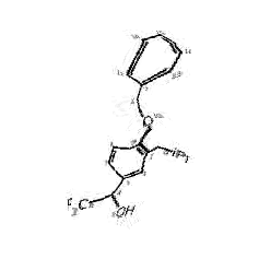 CC(C)c1cc(C(O)C(F)(F)F)ccc1OCc1ccccc1